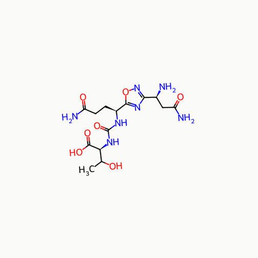 CC(O)[C@H](NC(=O)N[C@@H](CCC(N)=O)c1nc([C@@H](N)CC(N)=O)no1)C(=O)O